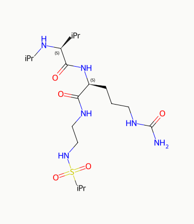 CC(C)N[C@H](C(=O)N[C@@H](CCCNC(N)=O)C(=O)NCCNS(=O)(=O)C(C)C)C(C)C